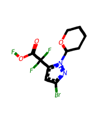 O=C(OF)C(F)(F)c1cc(Br)nn1C1CCCCO1